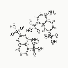 Nc1cc(S(=O)(=O)O)cc2cccc(S(=O)(=O)O)c12.Nc1ccc(S(=O)(=O)O)c2cc(S(=O)(=O)O)ccc12